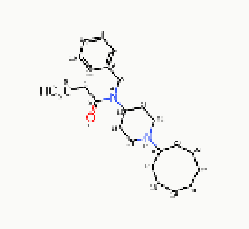 O=C(O)CC(=O)N(Cc1ccccc1)C1CCN(C2CCCCCCC2)CC1